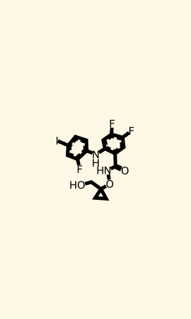 O=C(NOC1(CO)CC1)c1cc(F)c(F)cc1Nc1ccc(I)cc1F